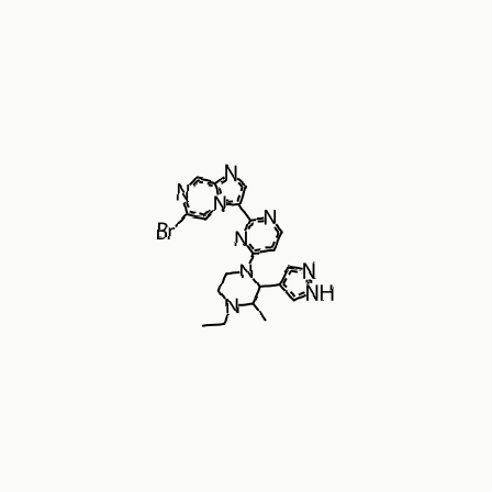 CCN1CCN(c2ccnc(-c3cnc4cnc(Br)cn34)n2)C(c2cn[nH]c2)C1C